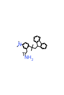 CN(C)c1ccc(C(C)(C)CC2c3ccccc3-c3ccccc32)c([CH2][Ti][NH2])c1